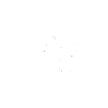 CC1(C)c2ccccc2-c2ccc(N(c3ccccc3-c3ccccc3-c3ccccc3)c3cccc4c3-c3ccccc3C43c4ccccc4N(c4ccccc4)c4ccccc43)cc21